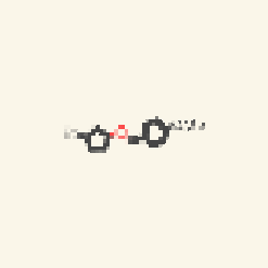 CCC1CCC(OCc2ccc(OC)cc2)C1